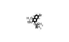 Cc1c(C(C)(C)C)c(O[SiH](C)C)cc2cc(Br)ccc12